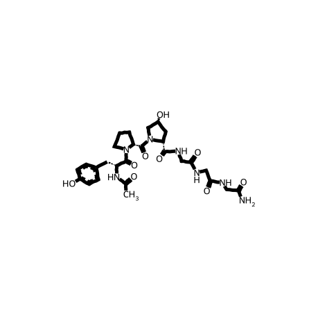 CC(=O)N[C@H](Cc1ccc(O)cc1)C(=O)N1CCC[C@@H]1C(=O)N1C[C@@H](O)C[C@@H]1C(=O)NCC(=O)NCC(=O)NCC(N)=O